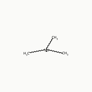 CCCCCCCCCCCCCC[n+]1ccn(CCCCCCCCCCCCC)c1CCCCCCCCCCC